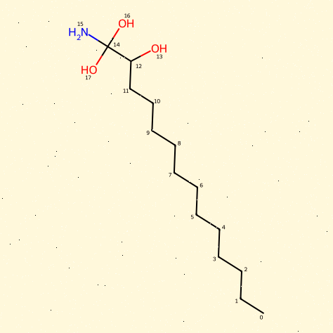 CCCCCCCCCCCCC(O)C(N)(O)O